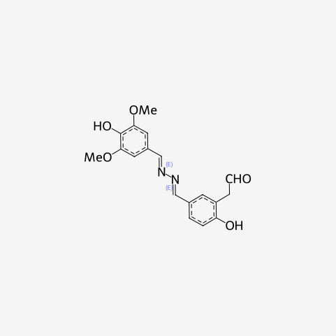 COc1cc(/C=N/N=C/c2ccc(O)c(CC=O)c2)cc(OC)c1O